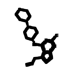 C=CCn1ccc2nc(Cl)nc(N[C@H]3CC[C@H](N4CCOCC4)CC3)c21